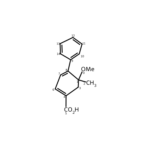 COC1(C)CC(C(=O)O)=CC=C1c1ccccc1